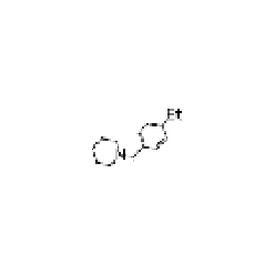 CCc1ccc([CH]N2CCCCC2)cc1